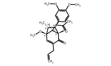 C=CCC1=C[C@]2(OC)[C@H](C)[C@@H](c3ccc(OC)c(OC)c3)[C@H](C1=O)[C@@H]2OC(C)=O